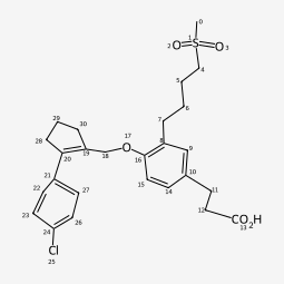 CS(=O)(=O)CCCCc1cc(CCC(=O)O)ccc1OCC1=C(c2ccc(Cl)cc2)CCC1